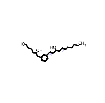 CCCCC/C=C/CC(O)/C=C/c1cccc(CC(O)CCCCO)c1